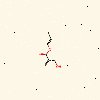 C=C(CO)C(=O)OC=CCC